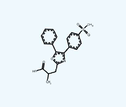 CC(Cc1nc(-c2ccc(S(C)(=O)=O)cc2)c(-c2ccccc2)o1)C(=O)O